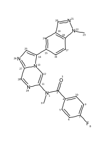 CN(C(=O)c1ccc(F)cc1)c1cn2c(-c3ccc4c(cnn4C)c3)cnc2cn1